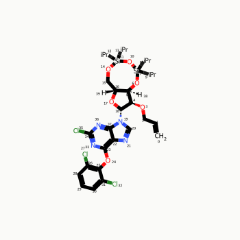 C=CCO[C@@H]1[C@@H]2O[Si](C(C)C)(C(C)C)O[Si](C(C)C)(C(C)C)OC[C@H]2O[C@H]1n1cnc2c(Oc3c(Cl)cccc3Cl)nc(Cl)nc21